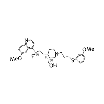 COc1cccc(SCCCN2CC[C@@H](CC[C@@H](F)c3ccnc4ccc(OC)cc34)[C@@H](CO)C2)c1